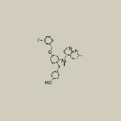 Cc1ccc2c([AsH]c3cc(OCc4cccc(F)c4)ccc3Sc3ccc(O)cc3)ccnc2n1